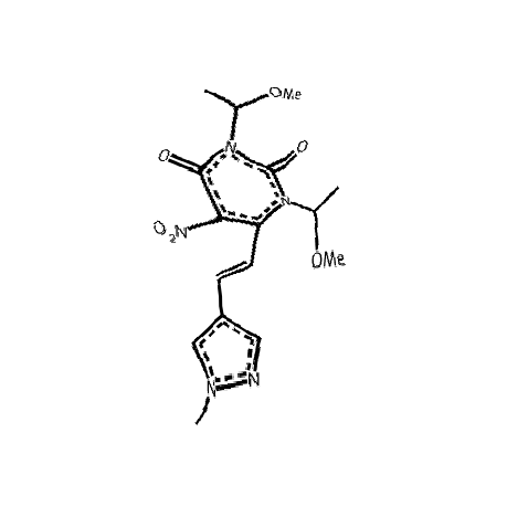 COC(C)n1c(C=Cc2cnn(C)c2)c([N+](=O)[O-])c(=O)n(C(C)OC)c1=O